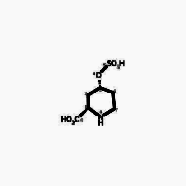 O=C(O)[C@H]1C[C@H](OS(=O)(=O)O)CCN1